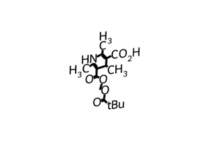 CC1=C(C(=O)O)C(C)C(C(=O)OCOC(=O)C(C)(C)C)=C(C)N1